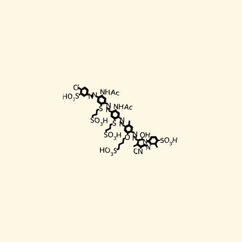 CC(=O)Nc1cc(N=Nc2cc(SCCCS(=O)(=O)O)c(N=Nc3cc(OCCCCS(=O)(=O)O)c(N=Nc4c(C)c(C#N)c5nc6c(C)c(S(=O)(=O)O)ccc6n5c4O)cc3C)cc2NC(C)=O)c(SCCCS(=O)(=O)O)cc1N=Nc1ccc(Cl)c(S(=O)(=O)O)c1